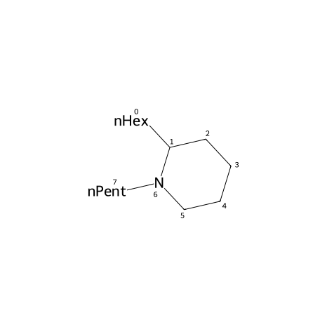 [CH2]CCCCCC1CCCCN1CCCCC